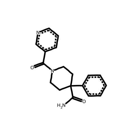 NC(=O)C1(c2ccccc2)CCN(C(=O)c2cccnc2)CC1